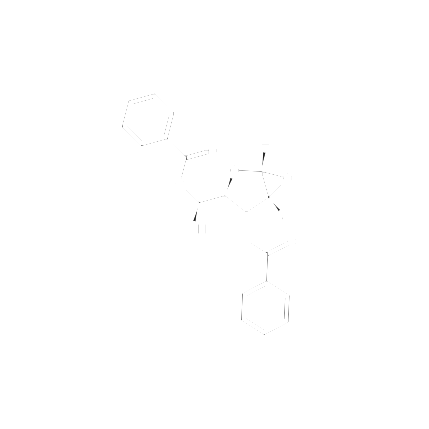 C[C@@H](OC(=O)c1ccccc1)[C@H]1O[C@@H]2O[C@]2(C)[C@@H]1OC(=O)c1ccccc1